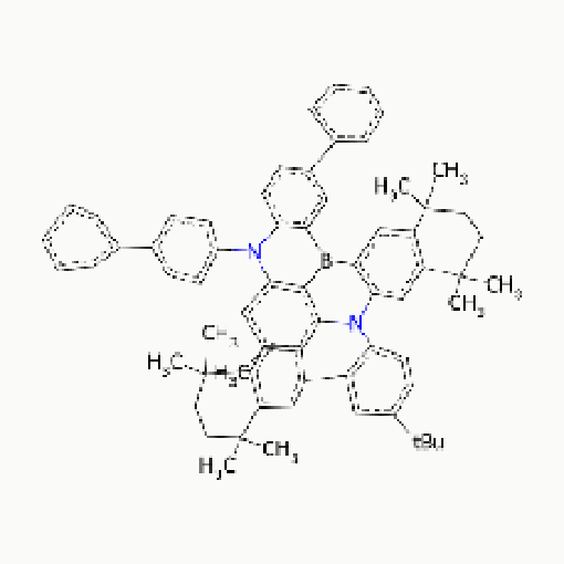 Cc1cc2c3c(c1)N(c1ccc(C(C)(C)C)cc1-c1ccc4c(c1)C(C)(C)CCC4(C)C)c1cc4c(cc1B3c1cc(-c3ccccc3)ccc1N2c1ccc(-c2ccccc2)cc1)C(C)(C)CCC4(C)C